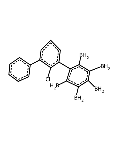 Bc1c(B)c(B)c(-c2cccc(-c3ccccc3)c2Cl)c(B)c1B